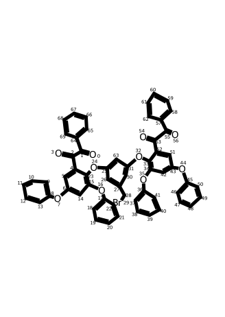 O=C(C(=O)c1cc(Oc2ccccc2)cc(Oc2ccccc2)c1Oc1cc(CBr)cc(Oc2c(Oc3ccccc3)cc(Oc3ccccc3)cc2C(=O)C(=O)c2ccccc2)c1)c1ccccc1